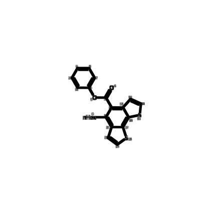 CCCCCCc1c(C(=O)Oc2ccccc2)c2ccsc2c2sccc12